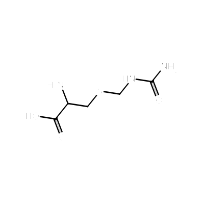 NC(=O)NCSCC(N)C(=O)O